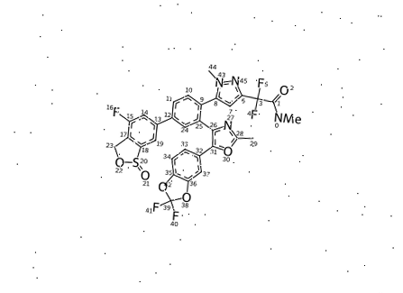 CNC(=O)C(F)(F)c1cc(-c2ccc(-c3cc(F)c4c(c3)S(=O)OC4)cc2-c2nc(C)oc2-c2ccc3c(c2)OC(F)(F)O3)n(C)n1